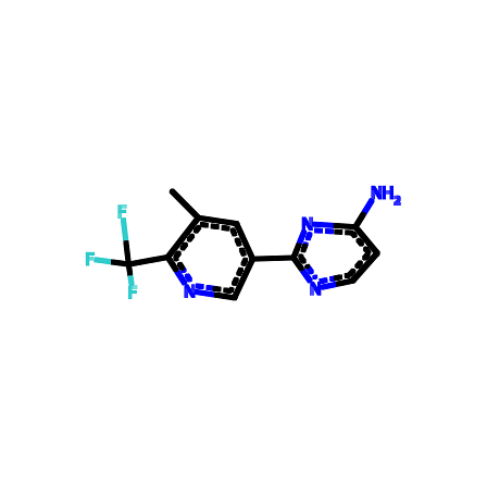 Cc1cc(-c2nccc(N)n2)cnc1C(F)(F)F